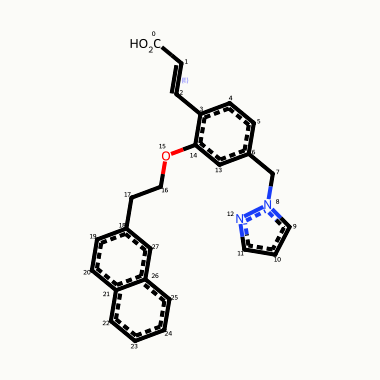 O=C(O)/C=C/c1ccc(Cn2cccn2)cc1OCCc1ccc2ccccc2c1